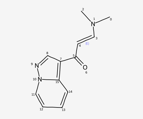 CN(C)/C=C/C(=O)c1cnn2ccccc12